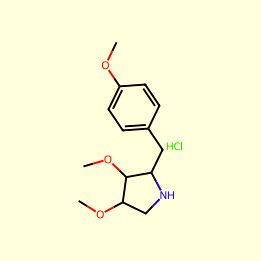 COc1ccc(CC2NCC(OC)C2OC)cc1.Cl